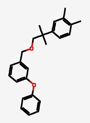 Cc1ccc(C(C)(C)COCc2cccc(Oc3ccccc3)c2)cc1C